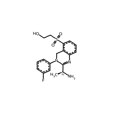 C[C@H](N)C1=Nc2cccc(S(=O)(=O)CCO)c2CN1c1cccc(F)c1